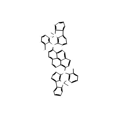 Cc1ccccc1N(c1cccc2c1[Si](C)(C)c1ccccc1-2)c1ccc2ccc3c(N(c4ccccc4C)c4cccc5c4[Si](C)(C)c4ccccc4-5)ccc4ccc1c2c43